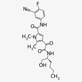 CCCC[C@@H](CO)NC(=O)C(=O)c1cc(C(=O)Nc2ccc(F)c(C#N)c2)n(C)c1C